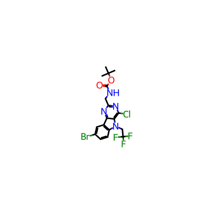 CC(C)(C)OC(=O)NCc1nc(Cl)c2c(n1)c1cc(Br)ccc1n2CC(F)(F)F